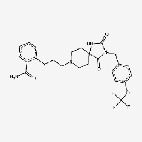 NC(=O)c1ccccc1[CH]CCN1CCC2(CC1)NC(=O)N(Cc1ccc(OC(F)(F)F)cc1)C2=O